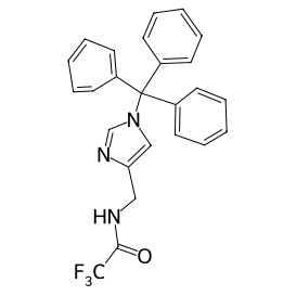 O=C(NCc1cn(C(c2ccccc2)(c2ccccc2)c2ccccc2)cn1)C(F)(F)F